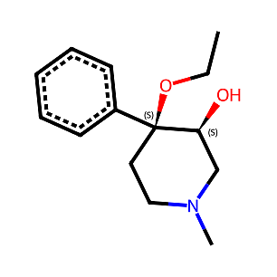 CCO[C@]1(c2ccccc2)CCN(C)C[C@@H]1O